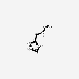 CCCCOCc1nnco1